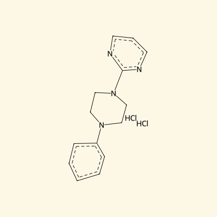 Cl.Cl.c1ccc(N2CCN(c3ncccn3)CC2)cc1